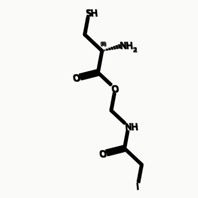 N[C@@H](CS)C(=O)OCNC(=O)CI